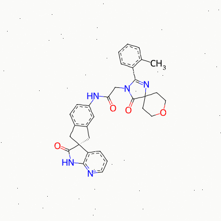 Cc1ccccc1C1=NC2(CCOCC2)C(=O)N1CC(=O)Nc1ccc2c(c1)C[C@@]1(C2)C(=O)Nc2ncccc21